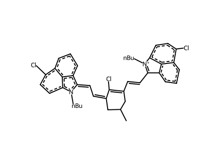 CCCCn1c(=CC=C2CC(C)CC(C=CC3=[N+](CCCC)c4ccc(Cl)c5cccc3c45)=C2Cl)c2cccc3c(Cl)ccc1c32